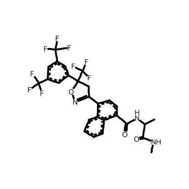 CNC(=O)C(C)NC(=O)c1ccc(C2=NOC(c3cc(C(F)(F)F)cc(C(F)(F)F)c3)(C(F)(F)F)C2)c2ccccc12